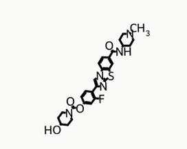 CN1CCC(NC(=O)c2ccc3c(c2)sc2nc(-c4ccc(OC(=O)N5CCC(O)CC5)cc4F)cn23)CC1